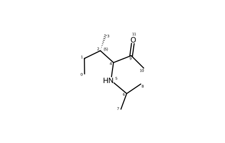 CC[C@H](C)C(NC(C)C)C(C)=O